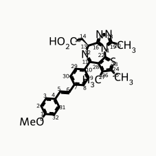 COc1ccc(C=Cc2ccc(C3=N[C@@H](CC(=O)O)c4nnc(C)n4-c4sc(C)c(C)c43)cc2)cc1